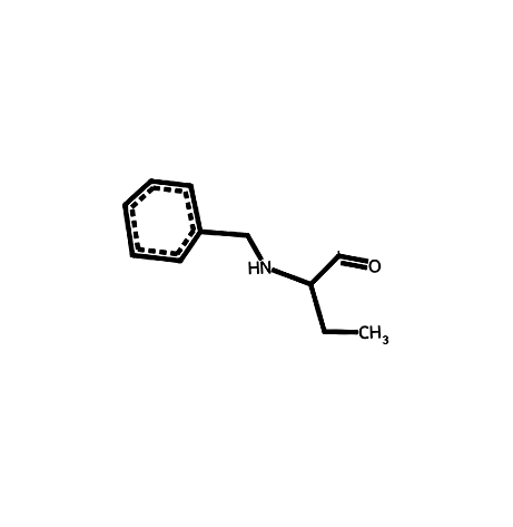 CCC([C]=O)NCc1ccccc1